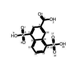 O=C(O)c1cc(S(=O)(=O)O)c2cccc(S(=O)(=O)O)c2c1